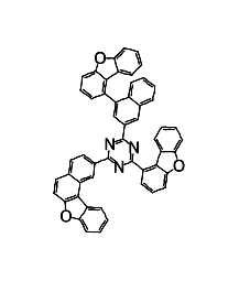 c1ccc2c(-c3cccc4oc5ccccc5c34)cc(-c3nc(-c4ccc5ccc6oc7ccccc7c6c5c4)nc(-c4cccc5oc6ccccc6c45)n3)cc2c1